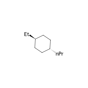 [CH2]C[C@H]1CC[C@H](CCC)CC1